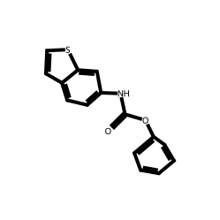 O=C(Nc1ccc2ccsc2c1)Oc1ccccc1